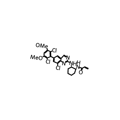 C=CC(=O)N[C@H]1CCCC[C@H]1Nc1ncc2cc(-c3c(Cl)c(OC)cc(OC)c3Cl)cc(Cl)c2n1